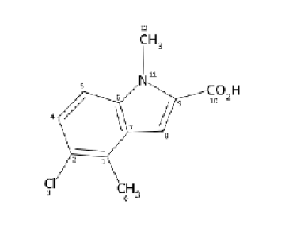 Cc1c(Cl)ccc2c1cc(C(=O)O)n2C